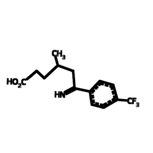 CC(CCC(=O)O)CC(=N)c1ccc(C(F)(F)F)cc1